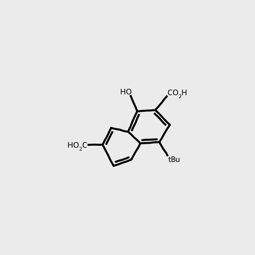 CC(C)(C)c1cc(C(=O)O)c(O)c2cc(C(=O)O)ccc12